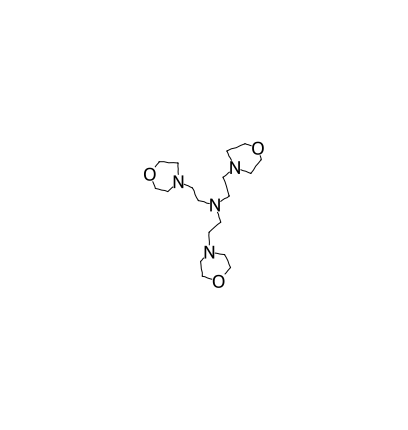 C1CN(CCN(CCN2CCOCC2)CCN2CCOCC2)CCO1